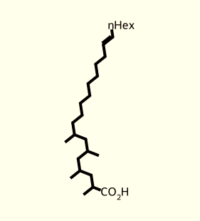 CCCCCC/C=C/CCCCCCCCC(C)CC(C)CC(C)CC(C)C(=O)O